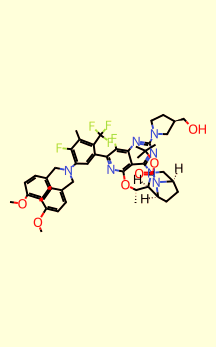 COc1ccc(CN(Cc2ccc(OC)cc2)c2cc(-c3nc4c5c(nc(N6CC[C@@H](CO)C6)nc5c3F)N3C[C@H]5CC[C@@H]([C@H]3[C@H](C)O4)N5C(=O)OC(C)(C)C)c(C(F)(F)F)c(C)c2F)cc1